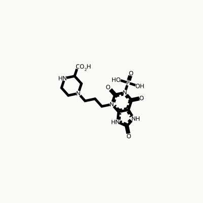 O=C(O)C1CN(CCCn2c(=O)n(P(=O)(O)O)c(=O)c3[nH]c(=O)[nH]c32)CCN1